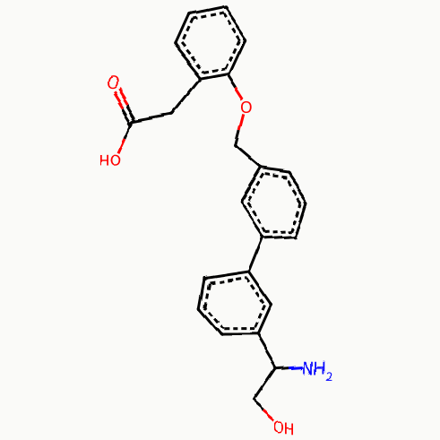 NC(CO)c1cccc(-c2cccc(COc3ccccc3CC(=O)O)c2)c1